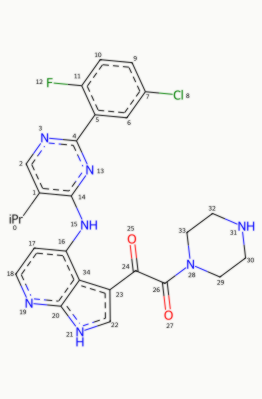 CC(C)c1cnc(-c2cc(Cl)ccc2F)nc1Nc1ccnc2[nH]cc(C(=O)C(=O)N3CCNCC3)c12